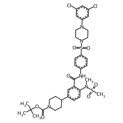 CN(c1ccc(C2CCN(C(=O)OC(C)(C)C)CC2)cc1C(=O)Nc1ccc(S(=O)(=O)N2CCN(c3cc(Cl)cc(Cl)c3)CC2)cc1)S(C)(=O)=O